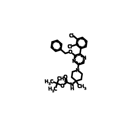 CC1(NC(=O)OC(C)(C)C)CCN(c2cnc(-c3cccc(Cl)c3Cl)c(OCc3ccccc3)n2)CC1